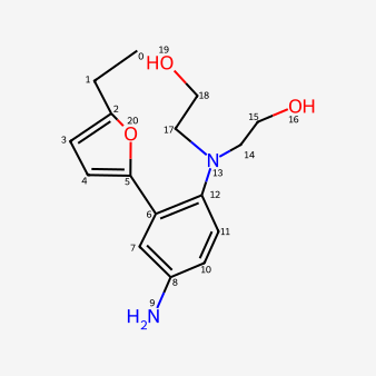 CCc1ccc(-c2cc(N)ccc2N(CCO)CCO)o1